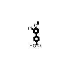 CCOc1ccc(-c2ccc(C(=O)O)cc2)cc1Cl